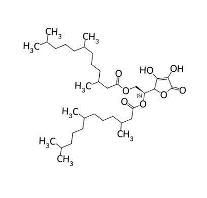 CC(C)CCCC(C)CCCC(C)CC(=O)OC[C@H](OC(=O)CC(C)CCCC(C)CCCC(C)C)C1OC(=O)C(O)=C1O